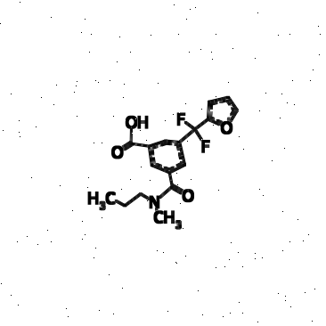 CCCN(C)C(=O)c1cc(C(=O)O)cc(C(F)(F)c2ccco2)c1